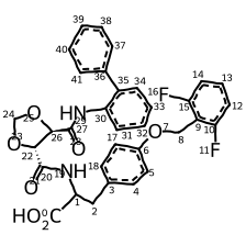 O=C(O)C(Cc1ccc(OCc2c(F)cccc2F)cc1)NC(=O)[C@@H]1OCO[C@H]1C(=O)Nc1ccccc1-c1ccccc1